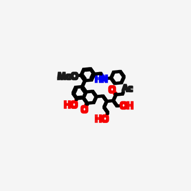 COc1ccc(CNC2CCCCC2)cc1-c1ccc(O)c2c1CC(CC(CCO)C(CO)C(=O)CC(C)=O)CC2=O